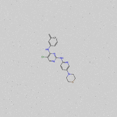 C=C(/C=C(\C=C/C)Nc1nc(Nc2ccc(N3CCSCC3)cn2)ncc1Cl)C(F)(F)F